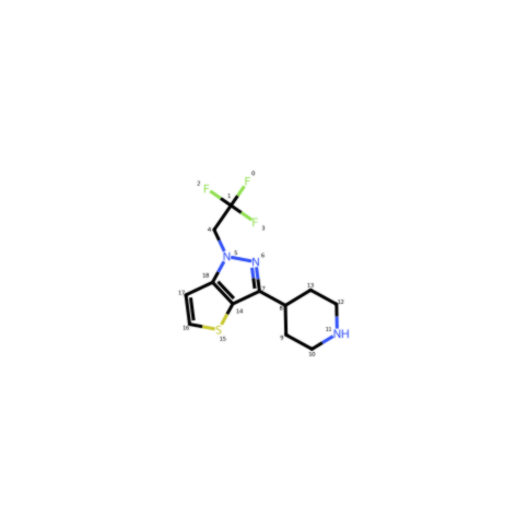 FC(F)(F)Cn1nc(C2CCNCC2)c2sccc21